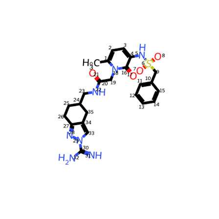 Cc1ccc(NS(=O)(=O)Cc2ccccc2)c(=O)n1CC(=O)NCC1CCc2nn(C(=N)N)cc2C1